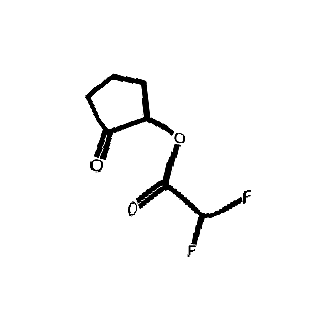 O=C(OC1CCCC1=O)C(F)F